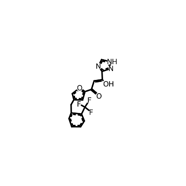 O=C(C=C(O)c1nc[nH]n1)c1cc(Cc2ccccc2C(F)(F)F)co1